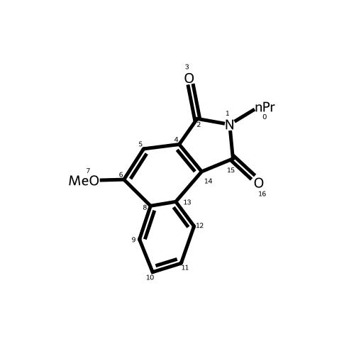 CCCN1C(=O)c2cc(OC)c3ccccc3c2C1=O